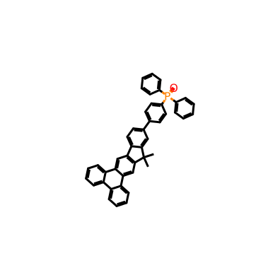 CC1(C)c2cc(-c3ccc(P(=O)(c4ccccc4)c4ccccc4)cc3)ccc2-c2cc3c4ccccc4c4ccccc4c3cc21